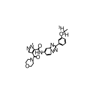 [3H]C([3H])(C)Oc1cccc(-c2nc3cc(NC(=O)c4c(C(=O)N5CCOCC5)cnn4C)ccn3n2)c1